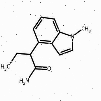 CCC(C(N)=O)c1cccc2c1ccn2C